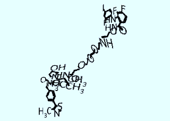 Cc1ncsc1-c1ccc(CNC(=O)[C@@H]2C[C@@H](O)CN2C(=O)[C@@H](NC(=O)CCOCCOCCOCCNCCCONC(=O)c2ccc(F)c(F)c2Nc2ccc(I)cc2F)C(C)(C)C)cc1